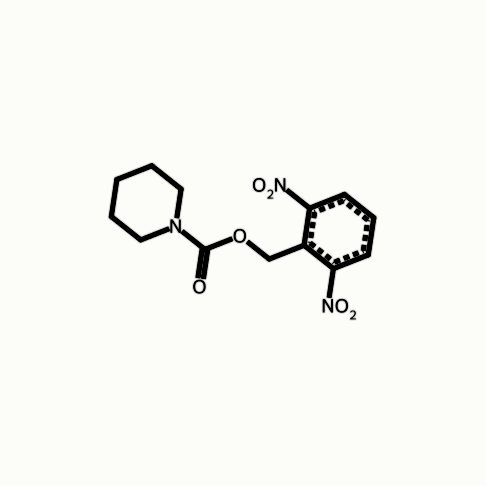 O=C(OCc1c([N+](=O)[O-])cccc1[N+](=O)[O-])N1CCCCC1